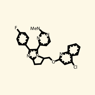 CNc1nccc(-c2c(-c3ccc(F)cc3)nc3n2C(COc2cc(Cl)c4ccccc4n2)CC3)n1